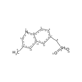 [CH2]c1cnc2ccc(C[SH](=O)=O)cc2c1